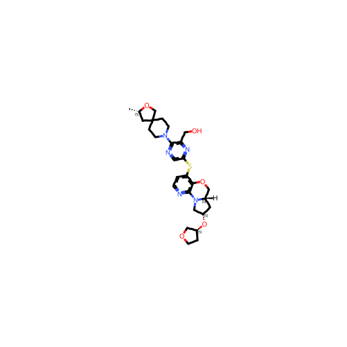 C[C@H]1CC2(CCN(c3ncc(Sc4ccnc5c4OC[C@@H]4C[C@H](O[C@H]6CCOC6)CN54)nc3CO)CC2)CO1